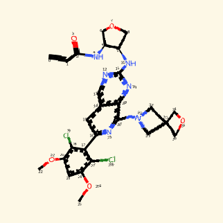 C=CC(=O)N[C@H]1COC[C@H]1Nc1ncc2cc(-c3c(Cl)c(OC)cc(OC)c3Cl)nc(N3CC4(COC4)C3)c2n1